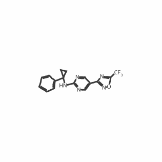 FC(F)(F)c1nc(-c2cnc(NC3(c4ccccc4)CC3)nc2)no1